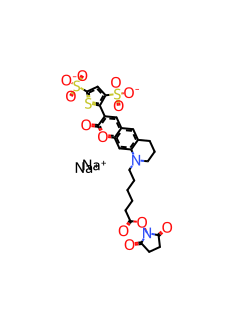 O=C(CCCCCN1CCCc2cc3cc(-c4sc(S(=O)(=O)[O-])cc4S(=O)(=O)[O-])c(=O)oc3cc21)ON1C(=O)CCC1=O.[Na+].[Na+]